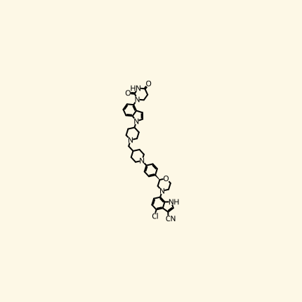 N#Cc1c[nH]c2c(N3CCO[C@H](c4ccc(N5CCC(CN6CCC(n7ccc8c(N9CCC(=O)NC9=O)cccc87)CC6)CC5)cc4)C3)ccc(Cl)c12